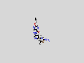 C#CCOc1cnc(C(=O)Nc2cncc([C@]3(C)CC(=C)SC(N)=N3)c2)cn1